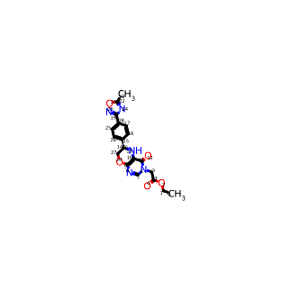 CCOC(=O)Cn1cnc2c(c1=O)N[C@H](c1ccc(-c3noc(C)n3)cc1)CO2